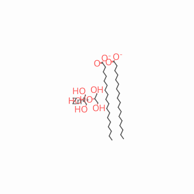 CCCCCCCCCCCCCCCCCC(=O)[O-].CCCCCCCCCCCCCCCCCC(=O)[O-].OCC(O)CO.OCC(O)CO.[Zn+2]